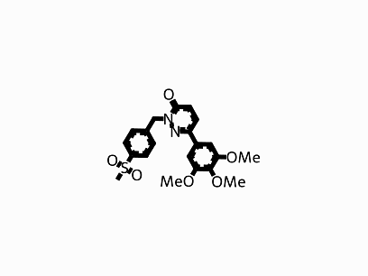 COc1cc(-c2ccc(=O)n(Cc3ccc(S(C)(=O)=O)cc3)n2)cc(OC)c1OC